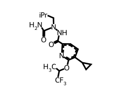 CC(C)CN(NC(=O)c1ccc(C2CC2)c(OC(C)C(F)(F)F)n1)C(N)=O